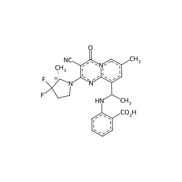 Cc1cc(C(C)Nc2ccccc2C(=O)O)c2nc(N3CCC(F)(F)[C@@H]3C)c(C#N)c(=O)n2c1